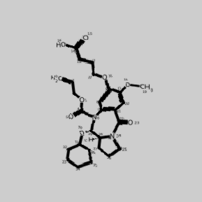 C=CCOC(=O)N1c2cc(OCCCC(=O)O)c(OC)cc2C(=O)N2CCC[C@H]2[C@@H]1OC1CCCCC1